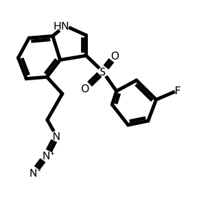 [N-]=[N+]=NCCc1cccc2[nH]cc(S(=O)(=O)c3cccc(F)c3)c12